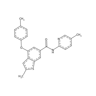 Cc1ccc(Oc2cc(C(=O)Nc3ccc(C)cn3)cc3sc(C)cc23)cc1